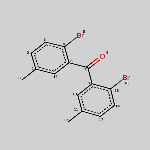 Cc1ccc(Br)c(C(=O)c2cc(C)ccc2Br)c1